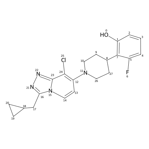 Oc1cccc(F)c1C1CCN(c2ccn3c(CC4CC4)nnc3c2Cl)CC1